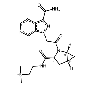 C[Si](C)(C)CCNC(=O)[C@@H]1C[C@H]2C[C@H]2N1C(=O)Cn1nc(C(N)=O)c2ccncc21